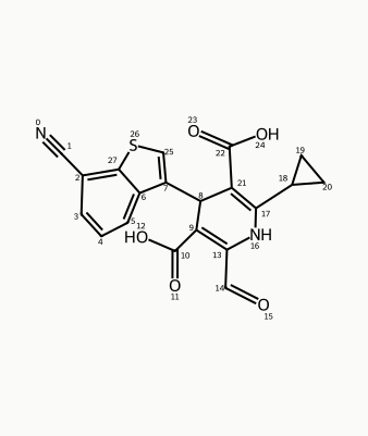 N#Cc1cccc2c(C3C(C(=O)O)=C(C=O)NC(C4CC4)=C3C(=O)O)csc12